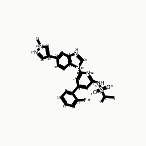 CC(C)S(=O)(=O)Nc1cc(-c2ccccc2F)cc(-n2cnc3cc(-c4cnn(C)c4)ccc32)n1